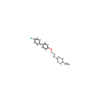 CCCCC1CCC(CCCOc2ccc(-c3ccc(F)cc3)cc2)CC1